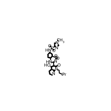 CC(C)CCn1c(=O)c(C2=NS(=O)(=O)c3cc(NS(=O)(=O)c4cn(C)cn4)ccc3N2)c(O)c2cccnc21